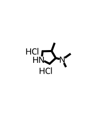 CC1CNCC1N(C)C.Cl.Cl